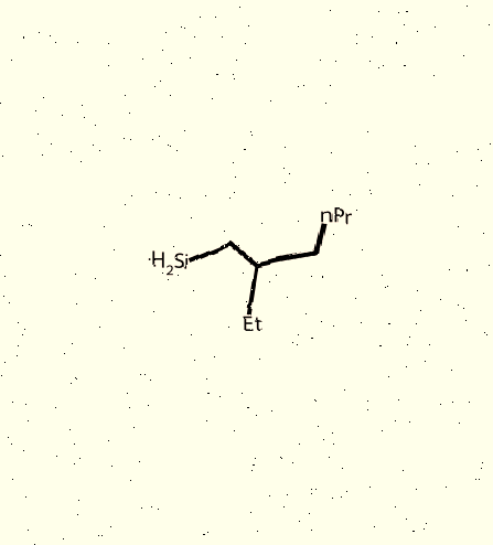 CCCCC(CC)C[SiH2]